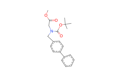 COC(=O)CN(Cc1ccc(-c2ccccc2)cc1)C(=O)OC(C)(C)C